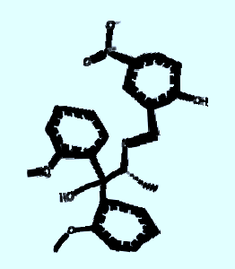 COc1ccccc1C(O)(c1ccccc1OC)[C@@H](C)N=Cc1cc([N+](=O)[O-])ccc1O